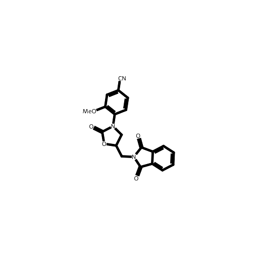 COc1cc(C#N)ccc1N1CC(CN2C(=O)c3ccccc3C2=O)OC1=O